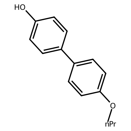 CCCOc1ccc(-c2ccc(O)cc2)cc1